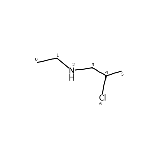 CCNCC(C)Cl